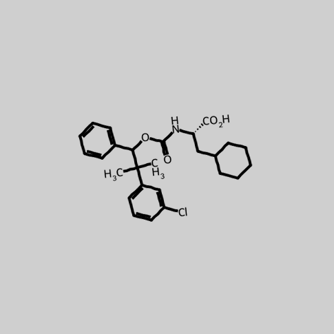 CC(C)(c1cccc(Cl)c1)C(OC(=O)N[C@@H](CC1CCCCC1)C(=O)O)c1ccccc1